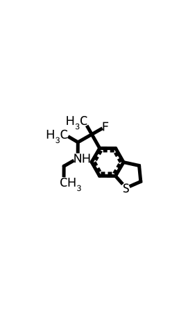 CCNC(C)C(C)(F)c1ccc2c(c1)CCS2